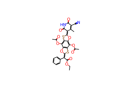 CCOC(=O)/C(=C1/Oc2c(OC(C)=O)c3c(c(OC(C)=O)c2S1)O/C(=C1/C(=O)NC(=O)C(C#N)=C1C)S3)c1ccccc1